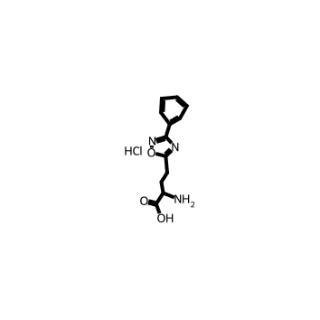 Cl.NC(CCc1nc(-c2ccccc2)no1)C(=O)O